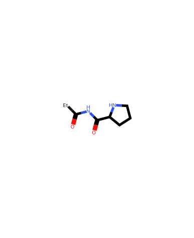 CCC(=O)NC(=O)C1CCCN1